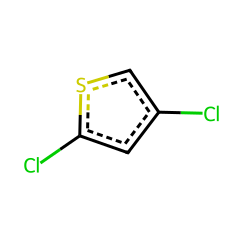 Clc1csc(Cl)c1